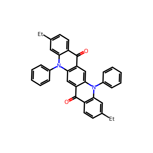 CCc1ccc2c(=O)c3cc4c(cc3n(-c3ccccc3)c2c1)c(=O)c1ccc(CC)cc1n4-c1ccccc1